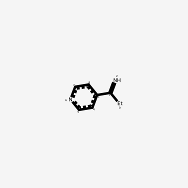 CCC(=N)c1ccncc1